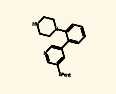 CCCCCc1cncc(-c2ccccc2N2CCNCC2)c1